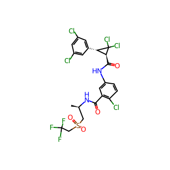 C[C@H](CS(=O)(=O)CC(F)(F)F)NC(=O)c1cc(NC(=O)[C@H]2[C@H](c3cc(Cl)cc(Cl)c3)C2(Cl)Cl)ccc1Cl